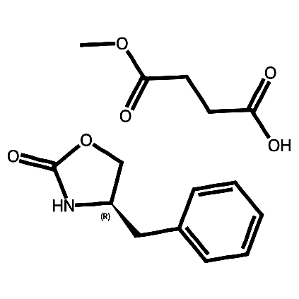 COC(=O)CCC(=O)O.O=C1N[C@H](Cc2ccccc2)CO1